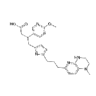 COc1ccc(C(CC(=O)O)Cc2csc(CCCc3ccc4c(n3)NCCN4C)n2)cn1